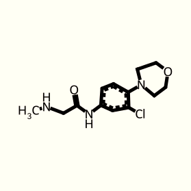 CNCC(=O)Nc1ccc(N2CCOCC2)c(Cl)c1